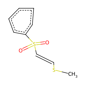 CSC=CS(=O)(=O)c1ccccc1